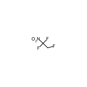 O=[N+]([O-])C(F)(F)CF